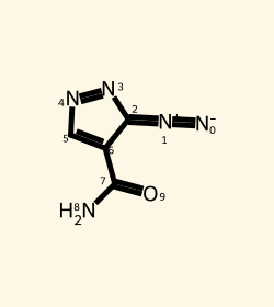 [N-]=[N+]=C1N=NC=C1C(N)=O